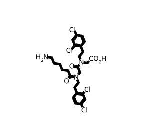 NCCCCCC(=O)N(CCc1ccc(Cl)cc1Cl)CC(=O)N(CCc1ccc(Cl)cc1Cl)CC(=O)O